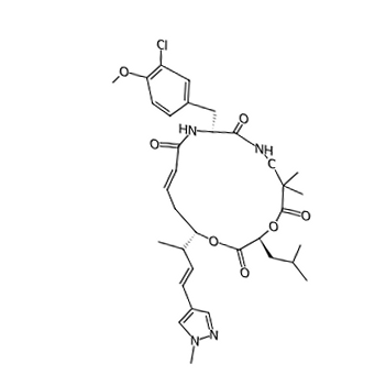 COc1ccc(C[C@H]2NC(=O)/C=C/C[C@@H](C(C)/C=C/c3cnn(C)c3)OC(=O)[C@H](CC(C)C)OC(=O)C(C)(C)CNC2=O)cc1Cl